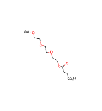 CC[C@@H](C)OCCOCCOCCOC(=O)CCC(=O)O